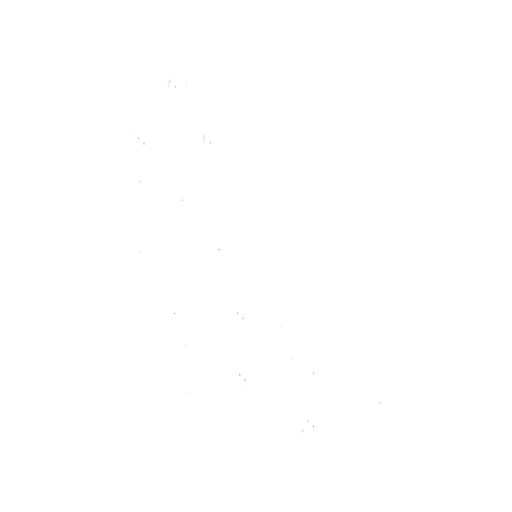 Nc1ncc(-c2ccc(C3(c4noc(-c5cscn5)n4)CCC3)cc2)cn1